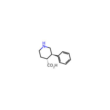 O=C(O)[C@@H]1CCNC[C@H]1c1ccccc1